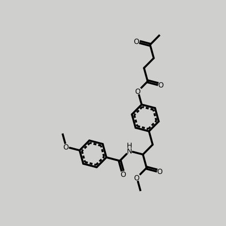 COC(=O)C(Cc1ccc(OC(=O)CCC(C)=O)cc1)NC(=O)c1ccc(OC)cc1